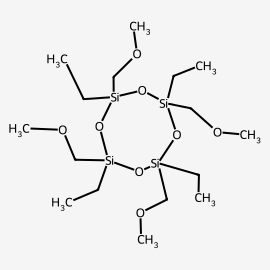 CC[Si]1(COC)O[Si](CC)(COC)O[Si](CC)(COC)O[Si](CC)(COC)O1